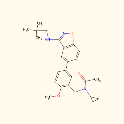 COc1ccc(-c2ccc3onc(NCC(C)(C)C)c3c2)cc1CN(C(C)=O)C1CC1